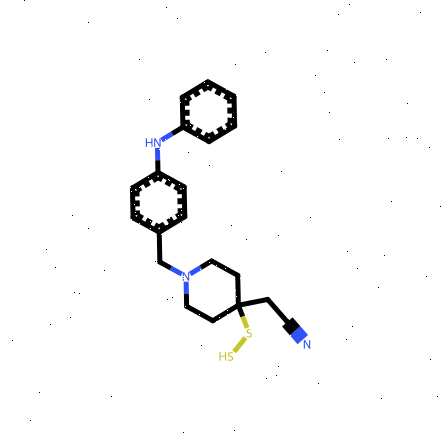 N#CCC1(SS)CCN(Cc2ccc(Nc3ccccc3)cc2)CC1